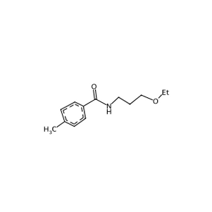 CCOCCCNC(=O)c1ccc(C)cc1